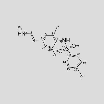 CN/C=C/c1cc(C)c(NS(=O)(=O)c2ccc(C)cc2)c(C)c1